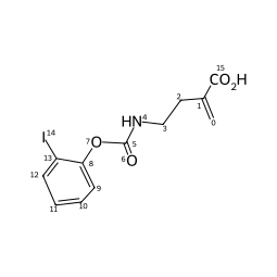 C=C(CCNC(=O)Oc1ccccc1I)C(=O)O